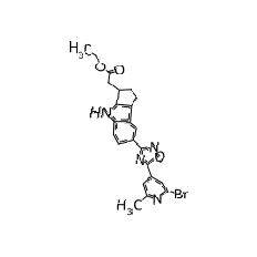 CCOC(=O)CC1CCc2c1[nH]c1ccc(-c3noc(-c4cc(C)nc(Br)c4)n3)cc21